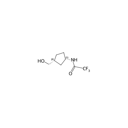 O=C(N[C@H]1CC[C@@H](CO)C1)C(F)(F)F